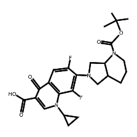 CC(C)(C)OC(=O)N1CCCC2CN(c3c(F)cc4c(=O)c(C(=O)O)cn(C5CC5)c4c3F)CC21